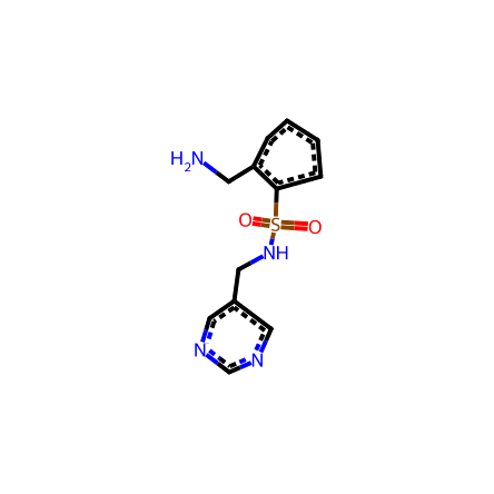 NCc1ccccc1S(=O)(=O)NCc1cncnc1